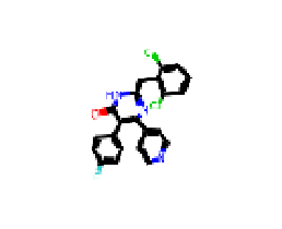 O=c1[nH]c(Cc2c(Cl)cccc2Cl)nc(-c2ccncc2)c1-c1ccc(F)cc1